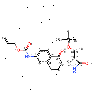 C=CCOC(=O)Nc1ccc2c(c1)CC[C@H]([C@H]1NC(=O)[C@@H]1[C@@H](C)O[Si](C)(C)C(C)(C)C)C2=O